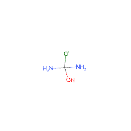 NC(N)(O)Cl